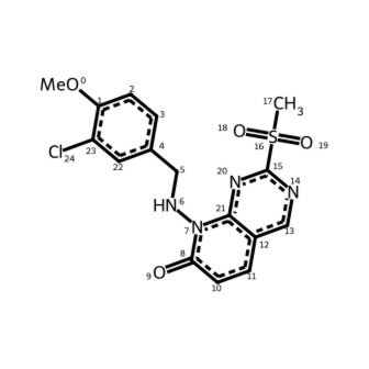 COc1ccc(CNn2c(=O)ccc3cnc(S(C)(=O)=O)nc32)cc1Cl